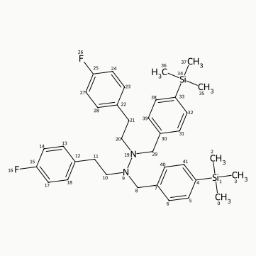 C[Si](C)(C)c1ccc(CN(CCc2ccc(F)cc2)N(CCc2ccc(F)cc2)Cc2ccc([Si](C)(C)C)cc2)cc1